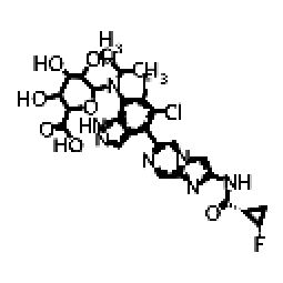 CC(C)N(c1c(F)c(Cl)c(-c2cn3cc(NC(=O)[C@@H]4C[C@@H]4F)nc3cn2)c2cn[nH]c12)C1OC(C(=O)O)C(O)C(O)C1O